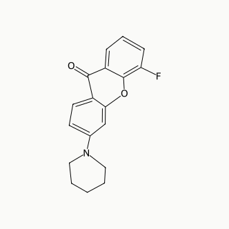 O=c1c2ccc(N3CCCCC3)cc2oc2c(F)cccc12